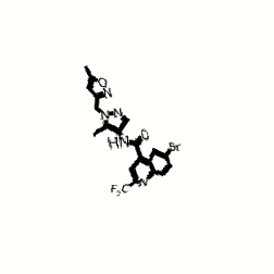 Cc1cc(Cn2ncc(NC(=O)c3cc(C(F)(F)F)nc4ccc(Br)cc34)c2C)no1